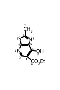 CCOC(=O)c1cnc2sc(C)nc2c1O